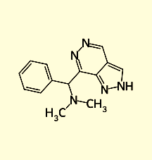 CN(C)C(c1ccccc1)c1nncc2c[nH]nc12